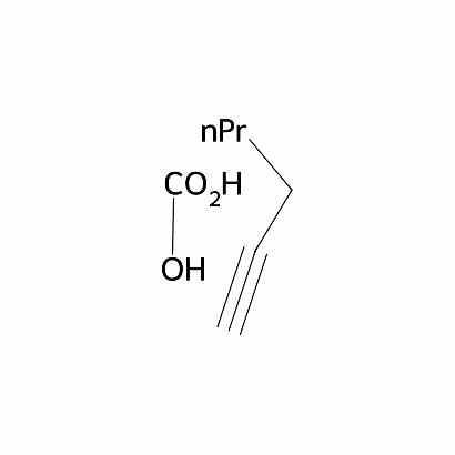 C#CCCCC.O=C(O)O